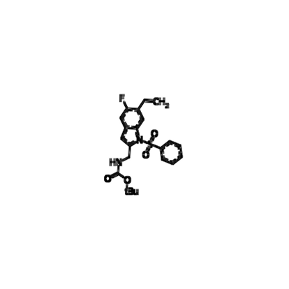 C=Cc1cc2c(cc1F)cc(CNC(=O)OC(C)(C)C)n2S(=O)(=O)c1ccccc1